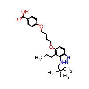 CCCc1c(OCCCCOc2ccc(C(=O)O)cc2)ccc2nnn(CC(C)(C)C)c12